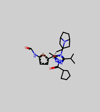 Cc1nnc(C(C)C)n1C1CC2CCC(C1)N2CC[C@H](NC(=O)C1CCCC1)c1ccc(NC=O)s1